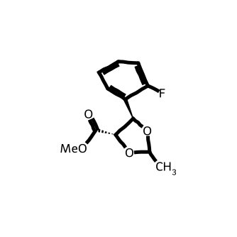 COC(=O)[C@H]1OC(C)O[C@@H]1c1ccccc1F